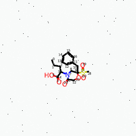 CCCC(C(=O)O)N1CC(Cc2ccccc2)(S(C)(=O)=O)OCC1=O